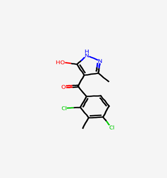 Cc1n[nH]c(O)c1C(=O)c1ccc(Cl)c(C)c1Cl